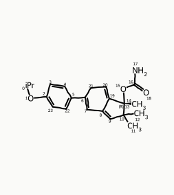 CC(C)Oc1ccc(C2=CC3=CC(C)(C)[C@@](C)(OC(N)=O)C3=CC2)cc1